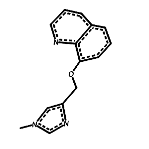 Cn1cnc(COc2cccc3cccnc23)c1